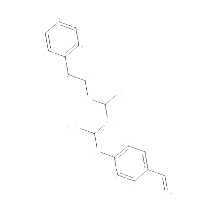 C=Cc1ccc(OC(C)OC(C)OCCc2ccccc2)cc1